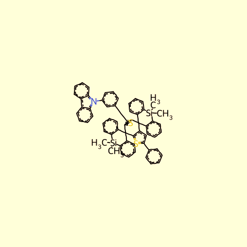 C[Si]1(C)c2ccccc2C2(c3ccccc31)c1cc(-c3cccc(-n4c5ccccc5c5ccccc54)c3)sc1C1(c3ccccc3[Si](C)(C)c3ccccc31)c1cc(-c3ccccc3)sc12